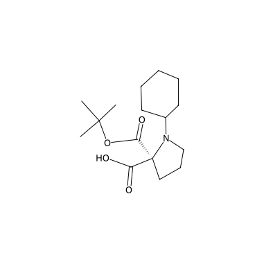 CC(C)(C)OC(=O)[C@@]1(C(=O)O)CCCN1C1CCCCC1